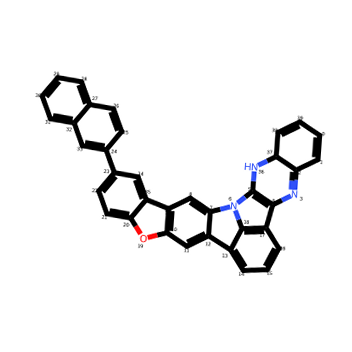 C1=CC2=Nc3c(n4c5cc6c(cc5c5cccc3c54)oc3ccc(-c4ccc5ccccc5c4)cc36)NC2C=C1